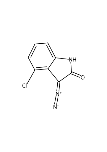 [N-]=[N+]=C1C(=O)Nc2cccc(Cl)c21